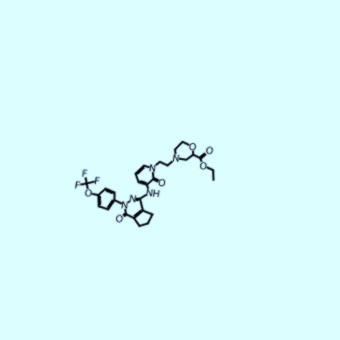 CCOC(=O)C1CN(CCn2cccc(Nc3nn(-c4ccc(OC(F)(F)F)cc4)c(=O)c4c3CCC4)c2=O)CCO1